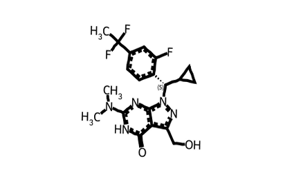 CN(C)c1nc2c(c(CO)nn2[C@H](c2ccc(C(C)(F)F)cc2F)C2CC2)c(=O)[nH]1